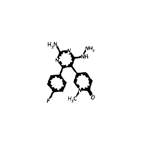 Cn1cc(-c2c(NN)nc(N)nc2-c2ccc(F)cc2)ccc1=O